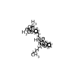 CCCCCCCn1nc(NCCCc2cccc(OC(C)(CCC)C(=O)O)c2)c(=O)n(Cc2ccccc2)c1=O